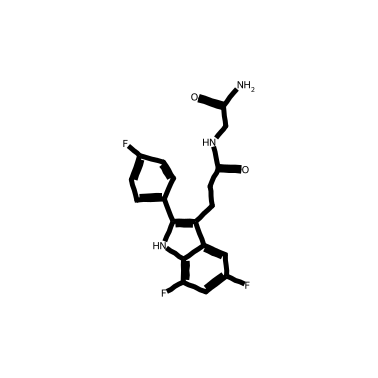 NC(=O)CNC(=O)CCc1c(-c2ccc(F)cc2)[nH]c2c(F)cc(F)cc12